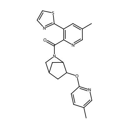 Cc1ccc(OC2CC3CC2N(C(=O)c2ncc(C)cc2-c2nccs2)C3)nc1